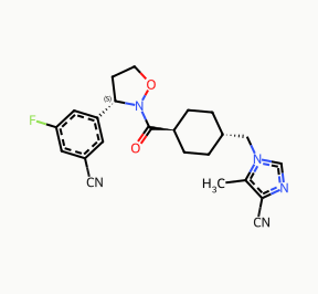 Cc1c(C#N)ncn1C[C@H]1CC[C@H](C(=O)N2OCC[C@H]2c2cc(F)cc(C#N)c2)CC1